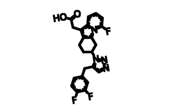 O=C(O)Cc1c2c(n3c(F)cccc13)CC(n1nncc1Cc1ccc(F)c(F)c1)CC2